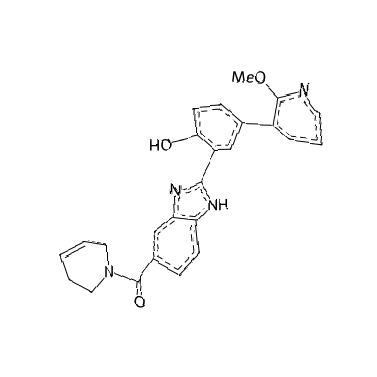 COc1ncccc1-c1ccc(O)c(-c2nc3cc(C(=O)N4CC=CCC4)ccc3[nH]2)c1